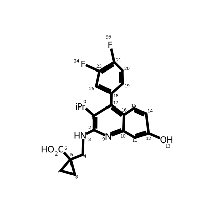 CC(C)c1c(NCC2(C(=O)O)CC2)nc2cc(O)ccc2c1-c1ccc(F)c(F)c1